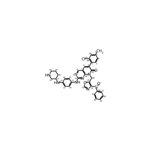 Cc1ccc(-c2cc3cnc(Nc4ccc(NC5CCCNC5)cc4)nc3n(Cc3ocnc3[S+]([O-])c3ccccc3)c2=O)c(Cl)c1